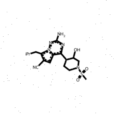 CC(C)Cc1c(C#N)cc2c(C3CCN(S(C)(=O)=O)CC3O)nc(N)nn12